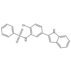 O=S(=O)(Nc1cc(-c2cc3ccccc3[nH]2)ccc1Cl)c1ccccc1